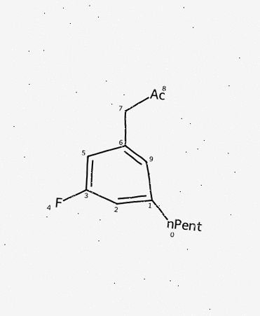 CCCCCc1cc(F)cc(CC(C)=O)c1